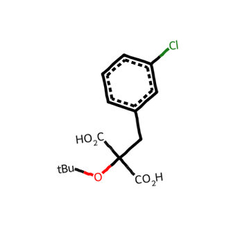 CC(C)(C)OC(Cc1cccc(Cl)c1)(C(=O)O)C(=O)O